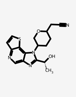 C[C@@H](O)c1nc2cnc3ccsc3c2n1C1CCC(CC#N)OC1